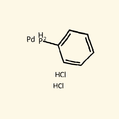 Cl.Cl.Pc1ccccc1.[Pd]